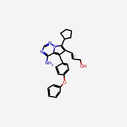 Nc1ncnn2c(C3CCCC3)c(/C=C/CO)c(-c3ccc(Oc4ccccc4)cc3)c12